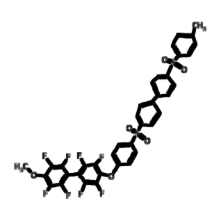 COc1c(F)c(F)c(-c2c(F)c(F)c(Oc3ccc(S(=O)(=O)c4ccc(-c5ccc(S(=O)(=O)c6ccc(C)cc6)cc5)cc4)cc3)c(F)c2F)c(F)c1F